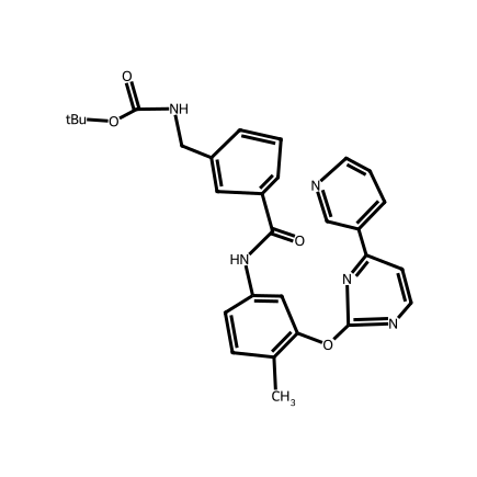 Cc1ccc(NC(=O)c2cccc(CNC(=O)OC(C)(C)C)c2)cc1Oc1nccc(-c2cccnc2)n1